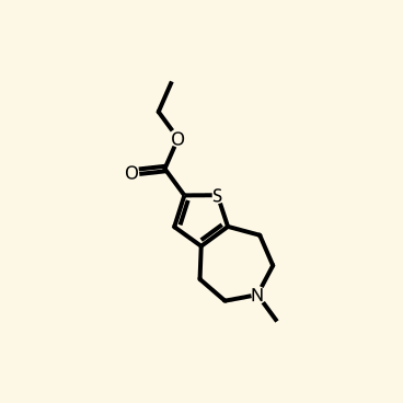 CCOC(=O)c1cc2c(s1)CCN(C)CC2